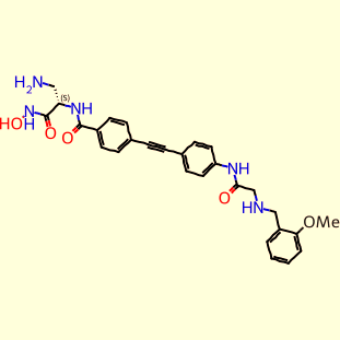 COc1ccccc1CNCC(=O)Nc1ccc(C#Cc2ccc(C(=O)N[C@@H](CN)C(=O)NO)cc2)cc1